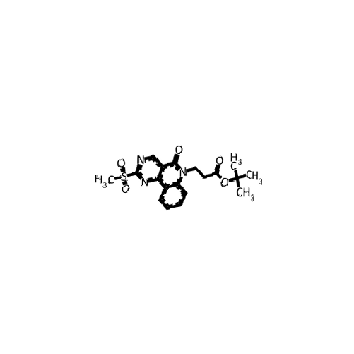 CC(C)(C)OC(=O)CCn1c(=O)c2cnc(S(C)(=O)=O)nc2c2ccccc21